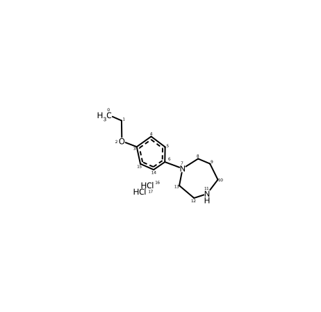 CCOc1ccc(N2CCCNCC2)cc1.Cl.Cl